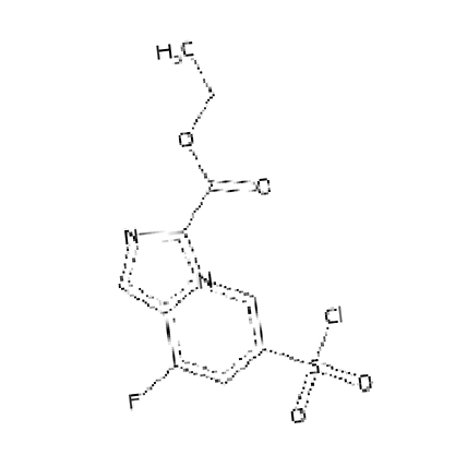 CCOC(=O)c1ncc2c(F)cc(S(=O)(=O)Cl)cn12